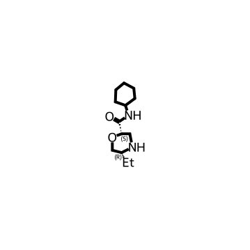 CC[C@@H]1CO[C@H](C(=O)NC2CCCCC2)CN1